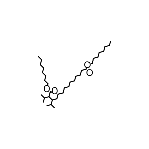 CCCCCCCCOC(=O)CCCCCCCCCCC(C(C)C)C(C(=O)OCCCCCCCC)C(C)C